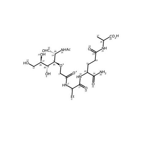 CCC(NC(=O)CO[C@@H]([C@H](O)[C@H](O)CO)[C@H](C=O)NC(C)=O)C(=O)NC(CCC(=O)NC(C)C(=O)O)C(N)=O